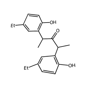 CCc1ccc(O)c(C(C)C(=O)C(C)c2cc(CC)ccc2O)c1